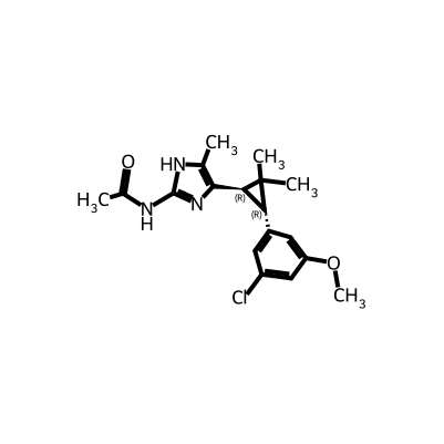 COc1cc(Cl)cc([C@@H]2[C@@H](c3nc(NC(C)=O)[nH]c3C)C2(C)C)c1